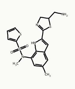 Cc1cc(N(C)S(=O)(=O)c2cccs2)c2[nH]c(C3=NCC(CN)S3)cc2c1